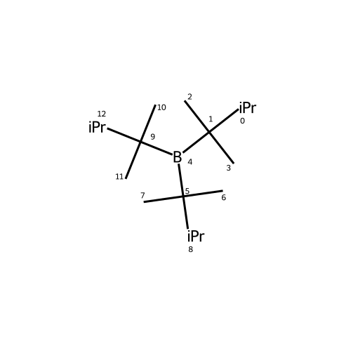 CC(C)C(C)(C)B(C(C)(C)C(C)C)C(C)(C)C(C)C